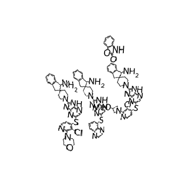 COC1CN(c2nccc(Sc3cnc4[nH]c(N5CCC6(CC5)Cc5ccccc5[C@H]6N)nc4n3)c2Cl)C1.N[C@@H]1c2ccccc2CC12CCN(c1nc3nc(Sc4cccc5nccnc45)cnc3[nH]1)CC2.N[C@@H]1c2ccccc2CC12CCN(c1nc3nc(Sc4ccnc(N5CCOCC5)c4Cl)cnc3[nH]1)CC2.O=c1[nH]c2ccccc2o1